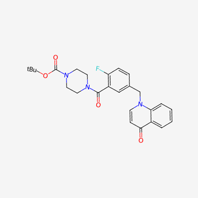 CC(C)(C)OC(=O)N1CCN(C(=O)c2cc(Cn3ccc(=O)c4ccccc43)ccc2F)CC1